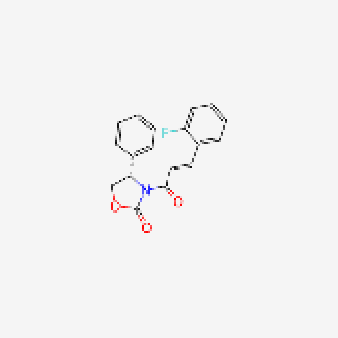 O=C(C=Cc1ccccc1F)N1C(=O)OC[C@@H]1c1ccccc1